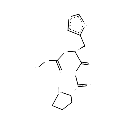 CC(C)(C)OC(=O)N[C@@H](Cc1cscn1)C(=O)NC(=O)[C@@H]1CCCN1